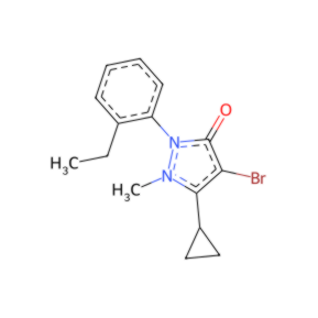 CCc1ccccc1-n1c(=O)c(Br)c(C2CC2)n1C